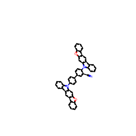 N#Cc1cc(-c2ccc(-n3c4ccccc4c4cc5c(cc43)oc3ccccc35)cc2)ccc1-n1c2ccccc2c2cc3c(cc21)oc1ccccc13